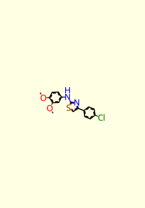 COc1ccc(Nc2nc(-c3ccc(Cl)cc3)cs2)cc1OC